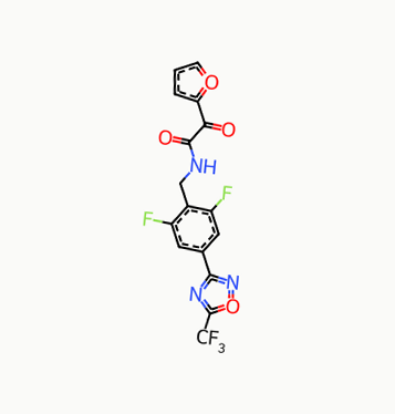 O=C(NCc1c(F)cc(-c2noc(C(F)(F)F)n2)cc1F)C(=O)c1ccco1